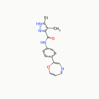 CCc1[nH]nc(C(=O)Nc2ccc(C3=CN=CC=CO3)cc2)c1C